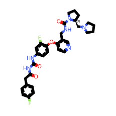 O=C(Cc1ccc(F)cc1)NC(=O)Nc1ccc(Oc2ccncc2CNC(=O)N2CCC[C@H]2CN2CCCC2)c(F)c1